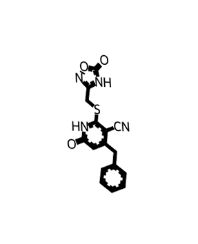 N#Cc1c(Cc2ccccc2)cc(=O)[nH]c1SCc1noc(=O)[nH]1